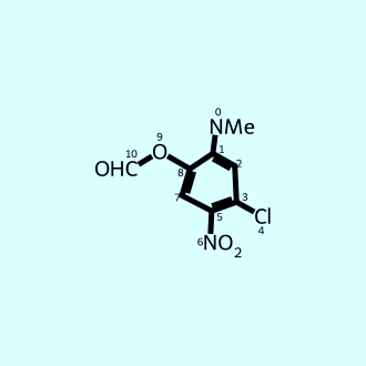 CNc1cc(Cl)c([N+](=O)[O-])cc1OC=O